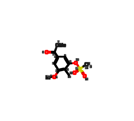 CCOc1cc(C(=O)OC)cc(OS(=O)(=O)C(F)(F)F)c1C